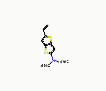 C=Cc1cc2sc(N(CCCCCCCCCC)CCCCCCCCCC)cc2s1